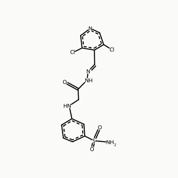 NS(=O)(=O)c1cccc(NCC(=O)N/N=C/c2c(Cl)cncc2Cl)c1